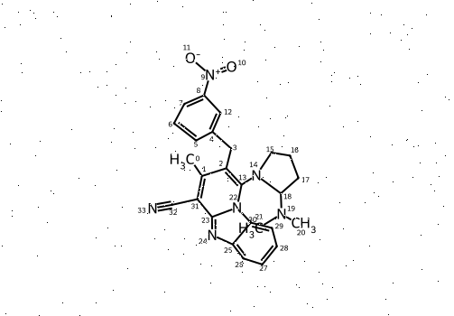 Cc1c(Cc2cccc([N+](=O)[O-])c2)c(N2CCCC2N(C)C)n2c(nc3ccccc32)c1C#N